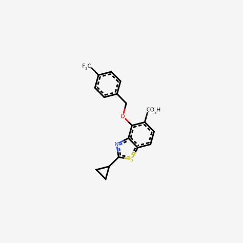 O=C(O)c1ccc2sc(C3CC3)nc2c1OCc1ccc(C(F)(F)F)cc1